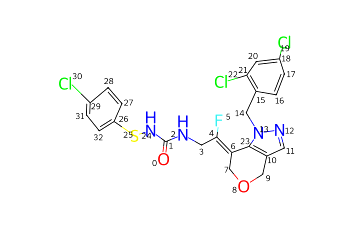 O=C(NC/C(F)=C1\COCc2cnn(Cc3ccc(Cl)cc3Cl)c21)NSc1ccc(Cl)cc1